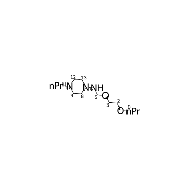 CCCOCCOCNN1CCN(CCC)CC1